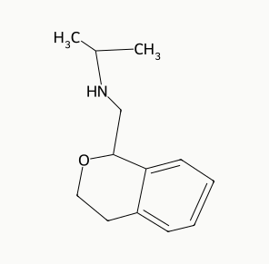 CC(C)NCC1OCCc2ccccc21